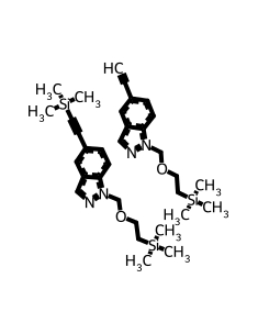 C#Cc1ccc2c(cnn2COCC[Si](C)(C)C)c1.C[Si](C)(C)C#Cc1ccc2c(cnn2COCC[Si](C)(C)C)c1